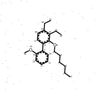 CCCCCCOc1c(-c2ccc[c]c2OC)ccc(CC)c1CC